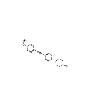 CCCOc1ccc(C#Cc2ccc([C@H]3CC[C@H](CC)CC3)cc2)nc1